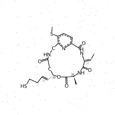 C/C=C1\NC(=O)c2ccc(SC)c(n2)CNC(=O)C[C@@H](/C=C/CCS)OC(=O)[C@H](C)NC1=O